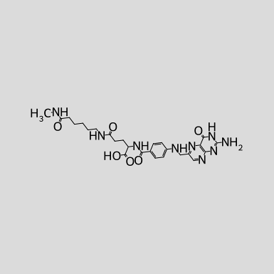 CNC(=O)CCCCCNC(=O)CCC(NC(=O)c1ccc(NCc2cnc3nc(N)[nH]c(=O)c3n2)cc1)C(=O)O